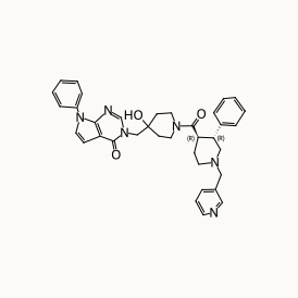 O=C([C@@H]1CCN(Cc2cccnc2)C[C@H]1c1ccccc1)N1CCC(O)(Cn2cnc3c(ccn3-c3ccccc3)c2=O)CC1